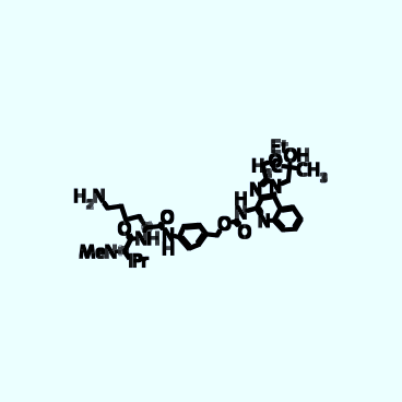 CCOCc1nc2c(NC(=O)OCc3ccc(NC(=O)[C@H](CCCCN)NC(=O)[C@@H](NC)C(C)C)cc3)nc3ccccc3c2n1CC(C)(C)O